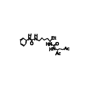 CCC(CCCCNC(=O)Nc1ccccc1)NC(=O)NC(CCC(C)=O)C(C)=O